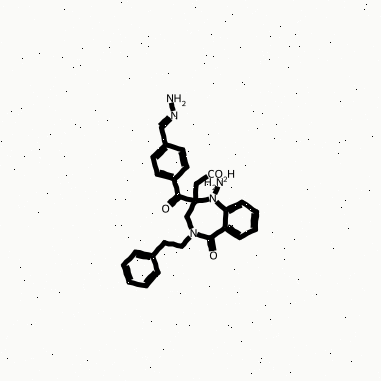 NN=Cc1ccc(C(=O)C2(CC(=O)O)CN(CCc3ccccc3)C(=O)c3ccccc3N2N)cc1